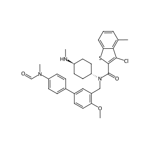 CN[C@H]1CC[C@H](N(Cc2cc(-c3ccc(N(C)C=O)cc3)ccc2OC)C(=O)c2sc3cccc(C)c3c2Cl)CC1